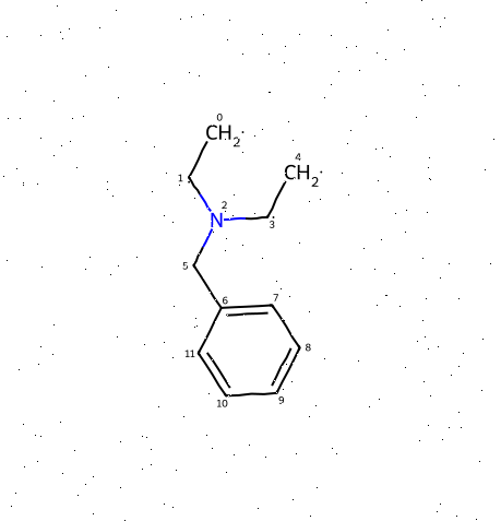 [CH2][CH]N([CH][CH2])Cc1ccccc1